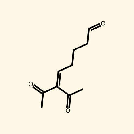 CC(=O)C(=CCCCC=O)C(C)=O